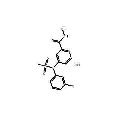 CS(=O)(=O)N(c1cccc(Cl)c1)c1ccnc(C(=O)NO)c1.Cl